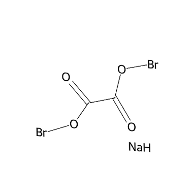 O=C(OBr)C(=O)OBr.[NaH]